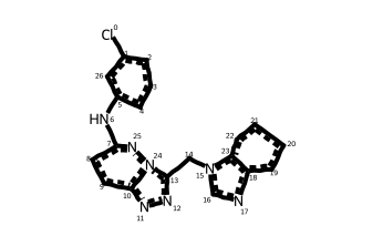 Clc1cccc(Nc2ccc3nnc(Cn4cnc5ccccc54)n3n2)c1